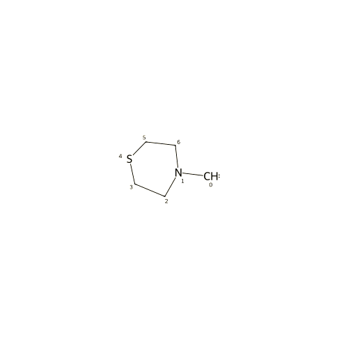 [CH]N1CCSCC1